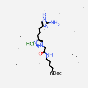 CCCCCCCCCCCCCCNC(=O)Cn1cc(CCCc2c[nH]c(N)n2)nn1.Cl